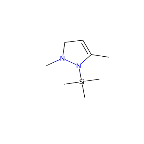 CC1=CCN(C)N1[Si](C)(C)C